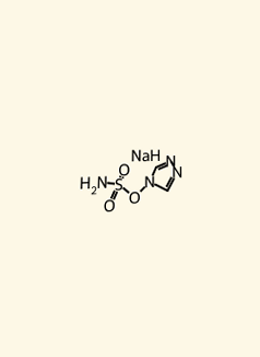 NS(=O)(=O)On1cnnc1.[NaH]